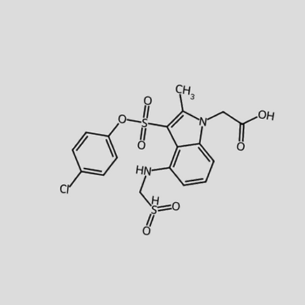 Cc1c(S(=O)(=O)Oc2ccc(Cl)cc2)c2c(NC[SH](=O)=O)cccc2n1CC(=O)O